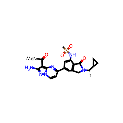 CNC(=O)c1c(N)nn2ccc(-c3cc4c(c(NS(C)(=O)=O)c3)C(=O)N([C@@H](C)C3CC3)C4)nc12